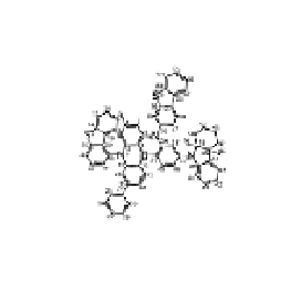 Cc1cc2c3c(c1)N(c1cccc4sc5ccccc5c14)c1cc(-c4ccccc4)ccc1B3c1ccc(N3c4ccccc4C4(C)CCCCC34C)cc1N2c1ccc2c(c1)sc1ccccc12